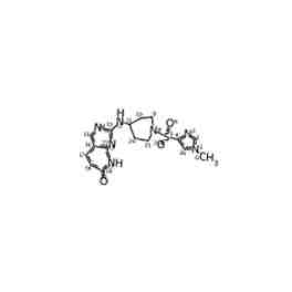 Cn1cnc(S(=O)(=O)N2CCC(Nc3ncc4ccc(=O)[nH]c4n3)CC2)c1